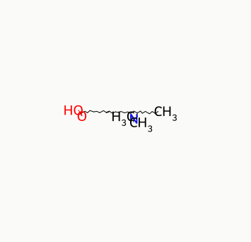 CCCCCCCC(CCCCCCCCC=CCCCCCCCC(=O)O)CN(C)C